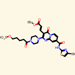 CC(C)(C)OC(=O)C=Cc1c(N2CCN(C(=O)CCCCOS(=O)(=O)O)CC2)nc2cc(C(=O)Nc3nc(C(C)(C)C)cs3)ccn2c1=O